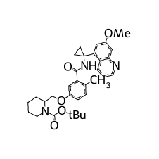 COc1cc(C2(NC(=O)c3cc(OCC4CCCCN4C(=O)OC(C)(C)C)ccc3C)CC2)c2cccnc2c1